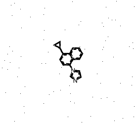 c1ccc2c(-n3ccnc3)ccc(C3CC3)c2c1